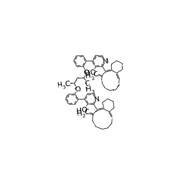 C=C1CCCCC/C=C2/CCCC/C2=C/1c1nccc(-c2ccccc2OC(C)C[C@H](C)Oc2ccccc2-c2ccnc(/C3=C4\CCCC\C4=C\CCCCCC3=C)c2O)c1O